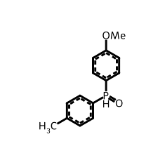 COc1ccc([PH](=O)c2ccc(C)cc2)cc1